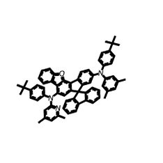 Cc1cc(C)cc(N(c2ccc(C(C)(C)C)cc2)c2ccc3c(c2)C2(c4ccccc4-c4ccccc42)c2cc(N(c4ccc(C(C)(C)C)cc4)c4cc(C)cc(C)n4)c4c(oc5ccccc54)c2-3)c1